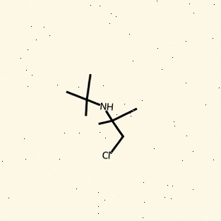 CC(C)(C)NC(C)(C)CCl